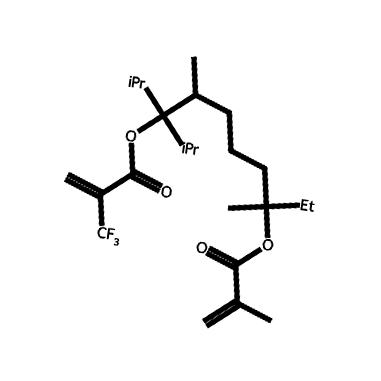 C=C(C)C(=O)OC(C)(CC)CCCC(C)C(OC(=O)C(=C)C(F)(F)F)(C(C)C)C(C)C